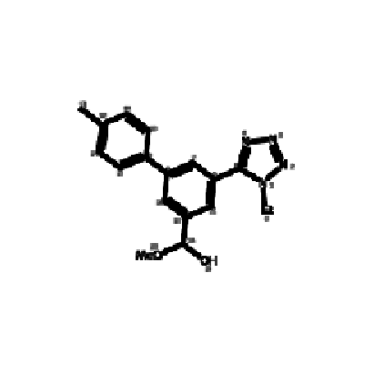 CCn1nnnc1-c1cc(-c2ccc(C)cc2)cc(C(O)OC)c1